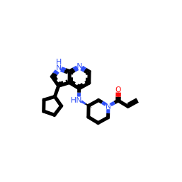 C=CC(=O)N1CCC[C@@H](Nc2ccnc3[nH]cc(C4CCCC4)c23)C1